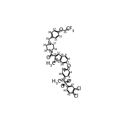 CN(c1ccc(Oc2ccc3cc(C(=O)N4CCN(Cc5ccc(OCC(F)(F)F)cc5)CC4)n(C)c3c2)nc1)S(=O)(=O)c1ccc(Cl)c(Cl)c1